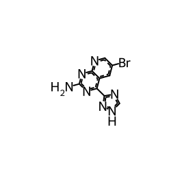 Nc1nc(-c2nc[nH]n2)c2cc(Br)cnc2n1